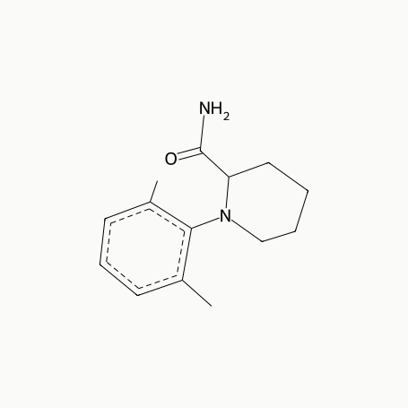 Cc1cccc(C)c1N1CCCCC1C(N)=O